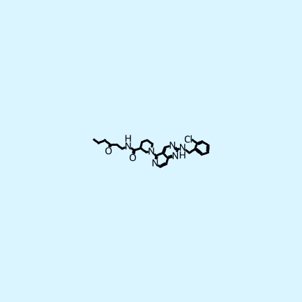 CCCC(=O)CCNC(=O)C1CCCN(c2nccc3nc(NCc4ccccc4Cl)ncc23)C1